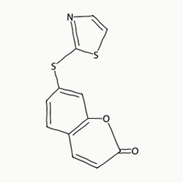 O=c1ccc2ccc(Sc3nccs3)cc2o1